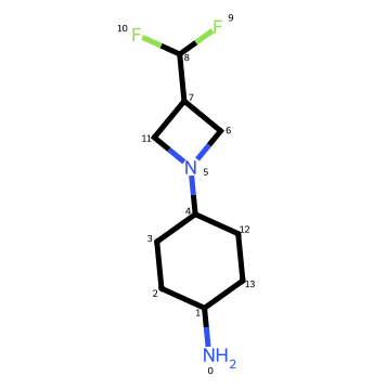 NC1CCC(N2CC(C(F)F)C2)CC1